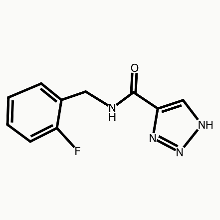 O=C(NCc1ccccc1F)c1c[nH]nn1